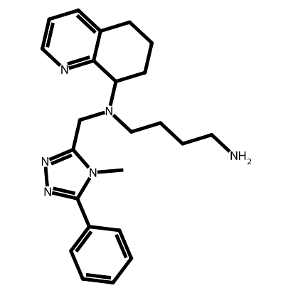 Cn1c(CN(CCCCN)C2CCCc3cccnc32)nnc1-c1ccccc1